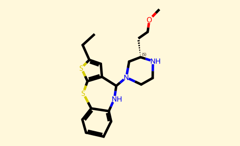 CCc1cc2c(s1)Sc1ccccc1NC2N1CCN[C@@H](CCOC)C1